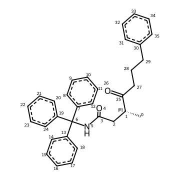 C[C@H](CC(=O)NC(c1ccccc1)(c1ccccc1)c1ccccc1)C(=O)CCCc1ccccc1